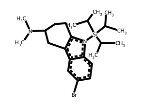 CC(C)[Si](C(C)C)(C(C)C)n1c2c(c3cc(Br)ccc31)CC(N(C)C)CC2